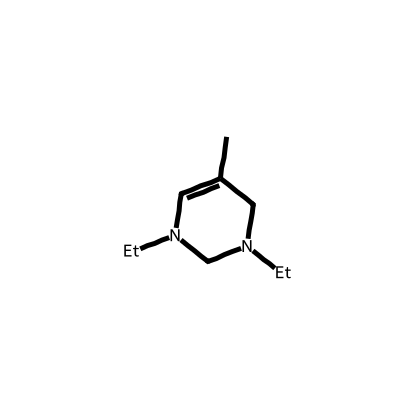 CCN1C=C(C)CN(CC)C1